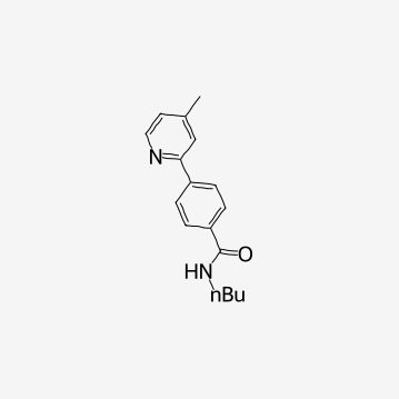 CCCCNC(=O)c1ccc(-c2cc(C)ccn2)cc1